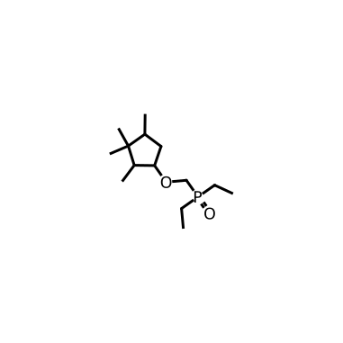 CCP(=O)(CC)COC1CC(C)C(C)(C)C1C